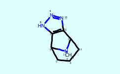 CN1C2CCCC1c1[nH]nnc12